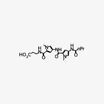 CCCC(=O)Nc1cc(C(=O)Nc2cc(C(=O)NCCC(=O)O)n(C)c2)n(C)c1